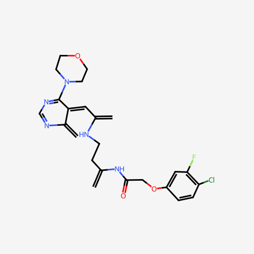 C=C(/C=c1/c(N2CCOCC2)ncnc1=C)NCCC(=C)NC(=O)COc1ccc(Cl)c(F)c1